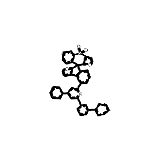 O=S1(=O)c2ccccc2C2(c3ccccc3-c3c(-c4cc(-c5ccccc5)cc(-c5cccc(-c6ccccc6)c5)n4)cccc32)c2ccccc21